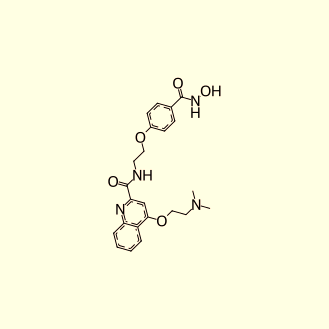 CN(C)CCOc1cc(C(=O)NCCOc2ccc(C(=O)NO)cc2)nc2ccccc12